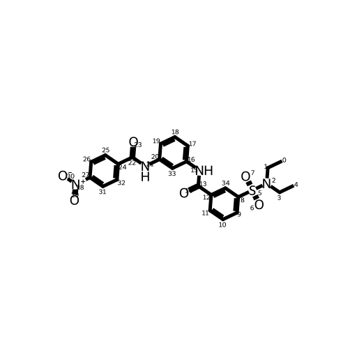 CCN(CC)S(=O)(=O)c1cccc(C(=O)Nc2cccc(NC(=O)c3ccc([N+](=O)[O-])cc3)c2)c1